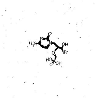 CCCC(O)C(Cn1ccc(N)nc1=O)OCP(=O)(O)O